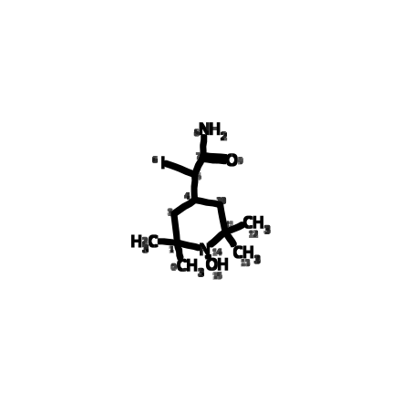 CC1(C)CC(C(I)C(N)=O)CC(C)(C)N1O